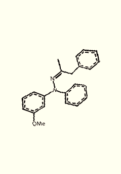 COc1cccc(N(N=C(C)Cc2ccccc2)c2ccccc2)c1